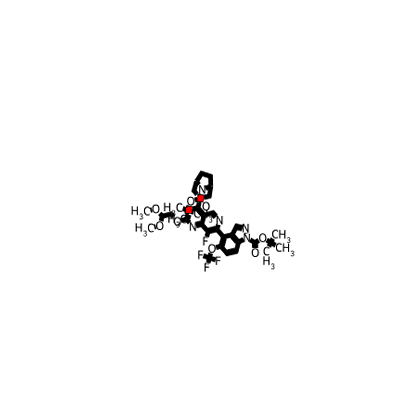 COC(COc1nc(N2CC3CCC(C2)N3C(=O)OC(C)(C)C)c2cnc(-c3c(OC(F)(F)F)ccc4c3cnn4C(=O)OC(C)(C)C)c(F)c2n1)OC